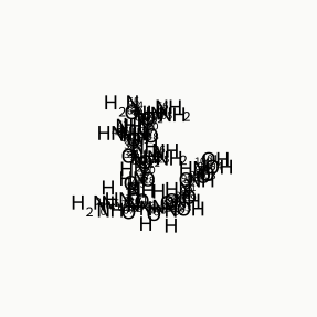 N=C(N)NCCC[C@H](NC(=O)CNC(=O)CNC(=O)[C@H](CCCNC(=N)N)NC(=O)CNC(=O)[C@H](CCCNC(=N)N)NC(=O)CNC(=O)[C@H](CCCNC(=N)N)NC(=O)CNC(=O)CN)C(=O)NCC(=O)NCC(=O)NCC(=O)N[C@@H](CO)C(=O)NCC(=O)NCC(=O)NCC(=O)N[C@@H](CO)C(=O)O